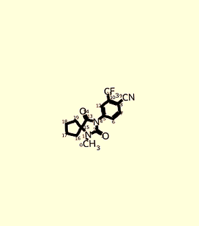 CN1C(=O)N(c2ccc(C#N)c(C(F)(F)F)c2)C(=O)C12CCCC2